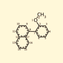 COc1ccccc1-c1cccc2ccccc12